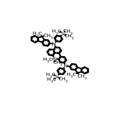 CC1(C)c2ccccc2-c2ccc(N(c3ccc([Si](C)(C)C)cc3)c3ccc4c(c3)[Si](C)(C)c3cccc5c(N(c6ccc([Si](C)(C)C)cc6)c6ccc7c(c6)C(C)(C)c6ccccc6-7)ccc-4c35)cc21